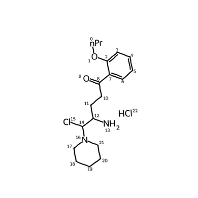 CCCOc1ccccc1C(=O)CCC(N)C(Cl)N1CCCCC1.Cl